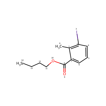 Cc1c(I)cccc1C(=O)OCCC[SiH3]